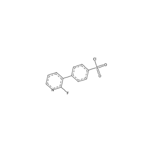 O=S(=O)(Cl)c1ccc(-c2cccnc2F)cc1